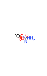 Cc1ccc(S(=O)(=O)O/N=C(\C#N)C(N)=O)cc1